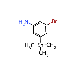 [CH3][Sn]([CH3])([CH3])[c]1cc(N)cc(Br)c1